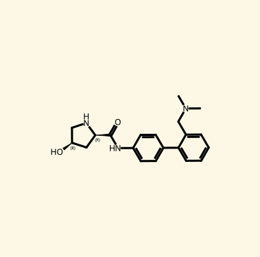 CN(C)Cc1ccccc1-c1ccc(NC(=O)[C@H]2C[C@@H](O)CN2)cc1